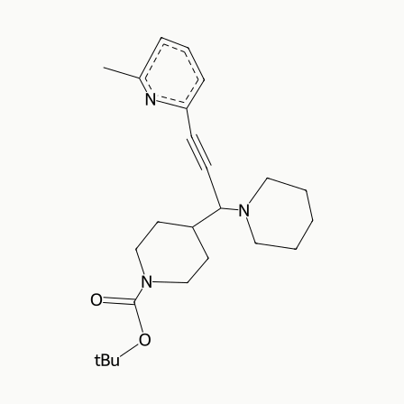 Cc1cccc(C#CC(C2CCN(C(=O)OC(C)(C)C)CC2)N2CCCCC2)n1